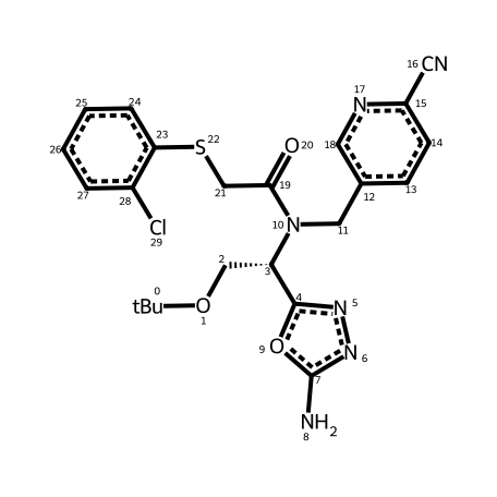 CC(C)(C)OC[C@@H](c1nnc(N)o1)N(Cc1ccc(C#N)nc1)C(=O)CSc1ccccc1Cl